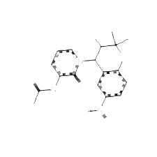 CC(=O)Nc1cccn(C2c3cc([N+](=O)[O-])ccc3OC(C)(C)C2O)c1=O